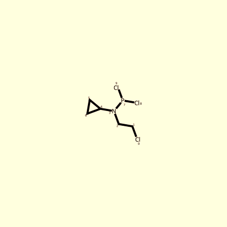 ClCCN(C1CC1)P(Cl)Cl